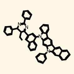 CCC1C(c2cc(-n3c4ccccc4c4cc5c6cc7ccccc7cc6n(-c6ccccc6)c5cc43)c3ccccc3c2)=NC(c2ccccc2)=NC1c1ccccc1